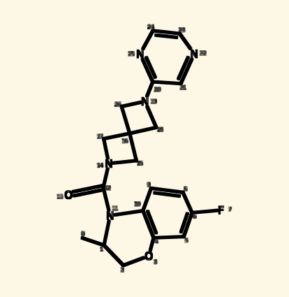 CC1COc2cc(F)ccc2N1C(=O)N1CC2(C1)CN(c1cnccn1)C2